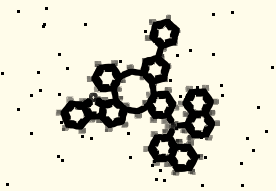 c1ccc(-c2ccc3c(c2)Cc2ccccc2-c2c(ccc4c2oc2ccccc24)Cc2cc(N(c4cccc5ccccc45)c4cccc5ccccc45)ccc2-3)cc1